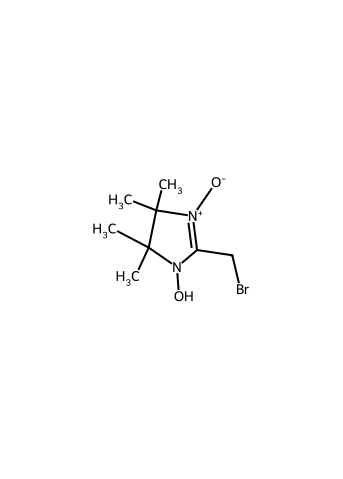 CC1(C)N(O)C(CBr)=[N+]([O-])C1(C)C